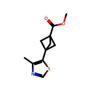 COC(=O)C12CC(c3scnc3C)(C1)C2